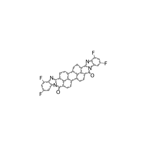 O=c1c2ccc3c4ccc5c(=O)n6c7cc(F)cc(F)c7nc6c6ccc(c7ccc(c2c37)c2nc3c(F)cc(F)cc3n12)c4c56